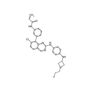 C=CC(=O)Nc1cccc(-c2c(Cl)ccc3cnc(Nc4ccc(NC5CN(CCF)C5)cc4)nc23)c1